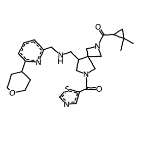 CC1(C)CC1C(=O)N1CC2(CN(C(=O)c3cncs3)CC2CNCc2cccc(C3CCOCC3)n2)C1